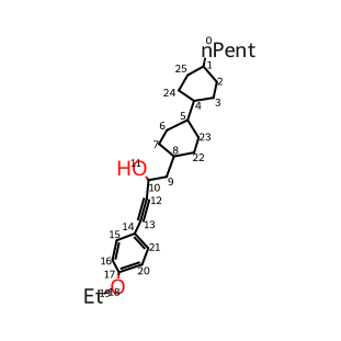 CCCCCC1CCC(C2CCC(CC(O)C#Cc3ccc(OCC)cc3)CC2)CC1